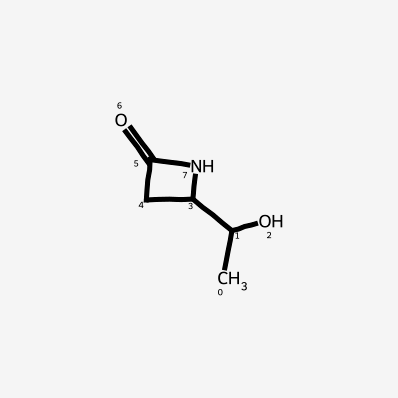 CC(O)C1CC(=O)N1